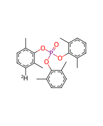 [2H]c1ccc(C)c(OP(=O)(Oc2c(C)cccc2C)Oc2c(C)cccc2C)c1C